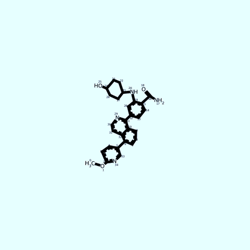 COc1ccc(-c2cccc3c(-c4ccc(C(N)=O)c(NC5CCC(O)CC5)c4)nccc23)cn1